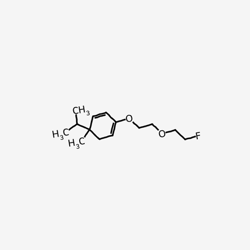 CC(C)C1(C)C=CC(OCCOCCF)=CC1